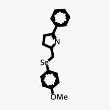 COc1ccc([Se]CC2CCC(c3ccccc3)=N2)cc1